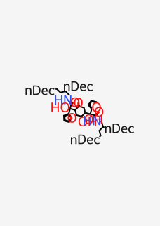 CCCCCCCCCCCCC(CCCCCCCCCC)CNC(=O)C(O)(c1ccco1)C1CC(O)C(C(O)(C(=O)NCC(CCCCCCCCCC)CCCCCCCCCCCC)c2ccco2)CC1=O